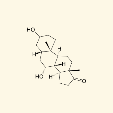 C[C@]12CCC(O)C[C@H]1C[C@@H](O)[C@@H]1[C@@H]2CC[C@]2(C)C(=O)CC[C@@H]12